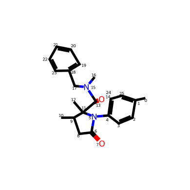 Cc1ccc(N2C(=O)CC(C)C2(C)C(=O)N(C)Cc2ccccc2)cc1